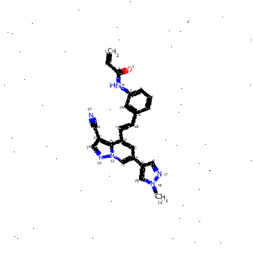 C=CC(=O)Nc1cccc(/C=C/c2cc(-c3cnn(C)c3)cn3ncc(C#N)c23)c1